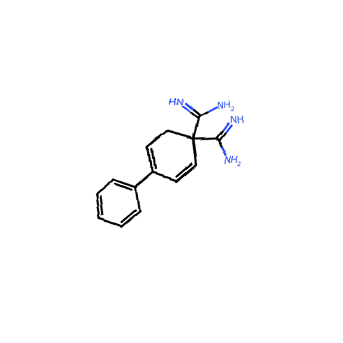 N=C(N)C1(C(=N)N)C=CC(c2ccccc2)=CC1